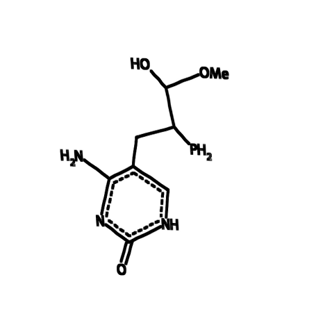 COC(O)C(P)Cc1c[nH]c(=O)nc1N